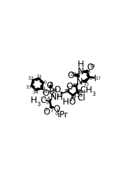 CC(C)OC(=O)[C@@H](C)N[P@@](=O)(OC[C@H]1O[C@@H](n2cc(I)c(=O)[nH]c2=O)[C@](C)(Cl)[C@@H]1O)Oc1ccccc1